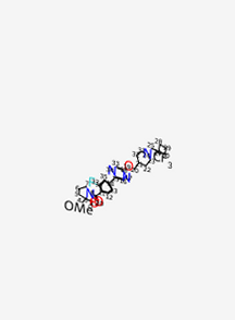 COC(=O)C1(C)CCCN1C(=O)c1ccc(-c2cnc(OCC3CCN(CC4(C(F)(F)F)CCC4)CC3)cn2)cc1F